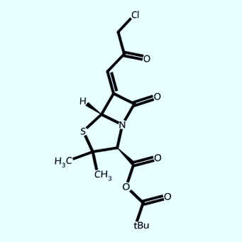 CC(C)(C)C(=O)OC(=O)[C@@H]1N2C(=O)C(=CC(=O)CCl)[C@H]2SC1(C)C